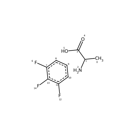 CC(N)C(=O)O.Fc1cccc(F)c1F